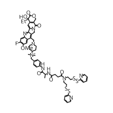 CC[C@@]1(O)C(=O)OCc2c1cc1n(c2=O)Cc2c-1nc1cc(F)c(OC)cc1c2CN1CCC([N+](C)(C)Cc2ccc(NC(=O)C(C)NC(=O)CCC(=O)N(CCSSc3ccccn3)CCSSc3ccccn3)cc2)CC1